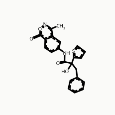 Cc1noc(=O)c2ccc(NC(=O)C(O)(Cc3ccccc3)c3cccs3)cc12